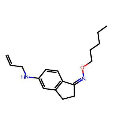 C=CCNc1ccc2c(c1)CC/C2=N/OCCCCC